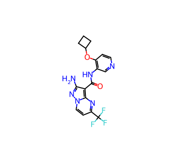 Nc1nn2ccc(C(F)(F)F)nc2c1C(=O)Nc1cnccc1OC1CCC1